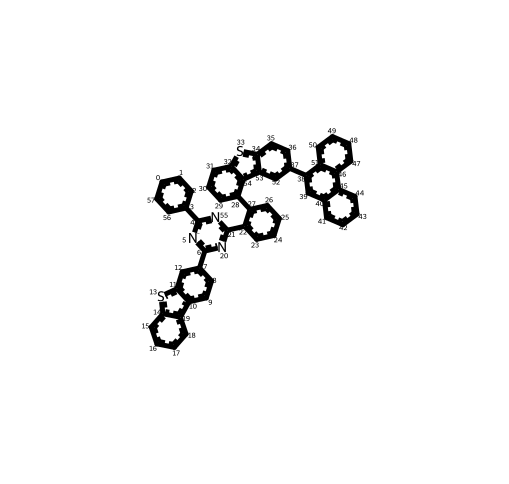 c1ccc(-c2nc(-c3ccc4c(c3)sc3ccccc34)nc(-c3ccccc3-c3cccc4sc5ccc(-c6cc7ccccc7c7ccccc67)cc5c34)n2)cc1